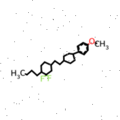 CCCCC1CCC(CCC2CCC(c3ccc(OC)cc3)CC2)CC1(F)F